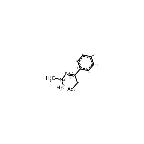 CC(=O)C/C(=N\N(C)C)c1ccccc1